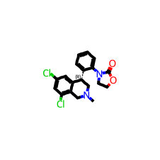 CN1Cc2c(Cl)cc(Cl)cc2[C@H](c2ccccc2N2CCOC2=O)C1